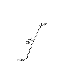 CCCCCCCCCCCCCCCCCN(CCCCCCCCCCCCCCCCC)C(C)(C)C#N